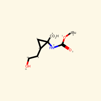 CC(C)(C)OC(=O)NC1(C(=O)O)CC1CCO